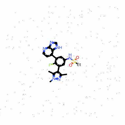 CCS(=O)(=O)Nc1cc(-c2c(C)nn(C)c2C)c(F)c(-c2ccnc3nc[nH]c23)c1